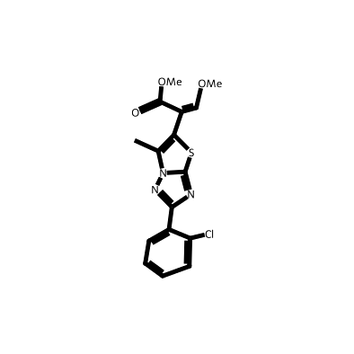 COC=C(C(=O)OC)c1sc2nc(-c3ccccc3Cl)nn2c1C